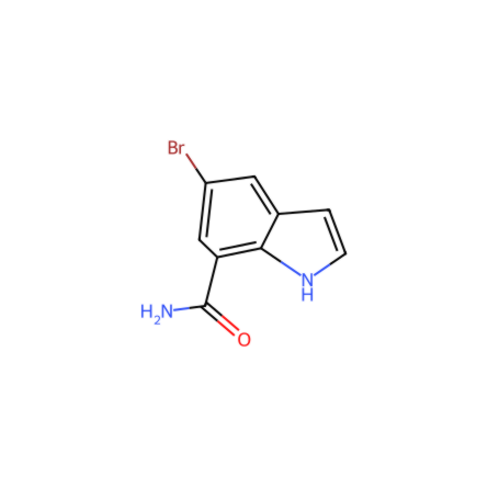 NC(=O)c1cc(Br)cc2cc[nH]c12